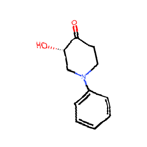 O=C1CCN(c2ccccc2)C[C@@H]1O